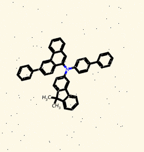 CC1(C)c2ccccc2-c2cc(N(c3ccc(-c4ccccc4)cc3)c3cc4ccccc4c4cc(-c5ccccc5)ccc34)ccc21